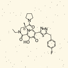 CCN1C[C@](C)(C(=O)N2CCCC2)n2cc(-c3nnc(Cc4ccc(F)cc4)s3)c(=O)c(O)c2C1=O